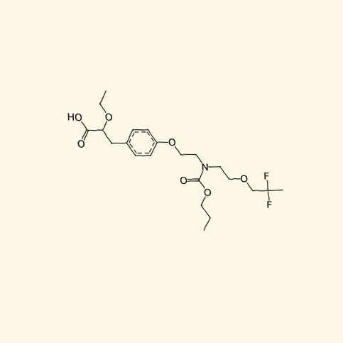 CCCOC(=O)N(CCOCC(C)(F)F)CCOc1ccc(CC(OCC)C(=O)O)cc1